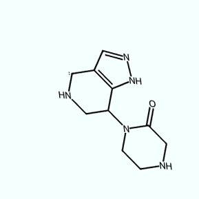 O=C1CNCCN1C1CN[C]c2cn[nH]c21